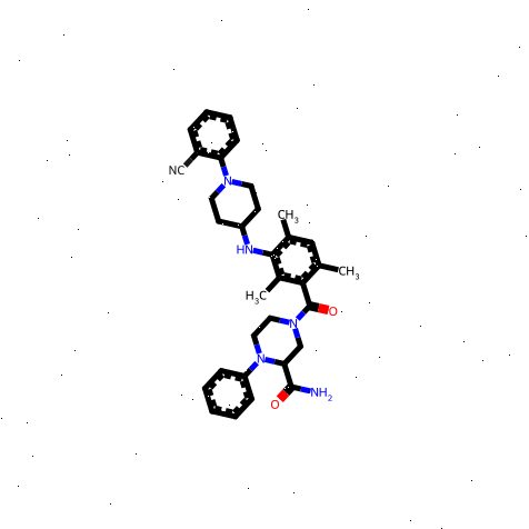 Cc1cc(C)c(C(=O)N2CCN(c3ccccc3)C(C(N)=O)C2)c(C)c1NC1CCN(c2ccccc2C#N)CC1